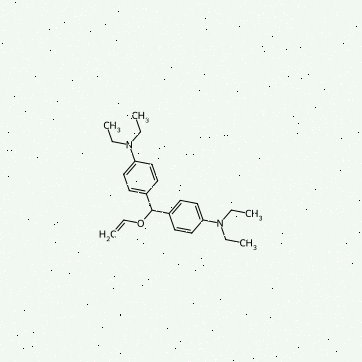 C=COC(c1ccc(N(CC)CC)cc1)c1ccc(N(CC)CC)cc1